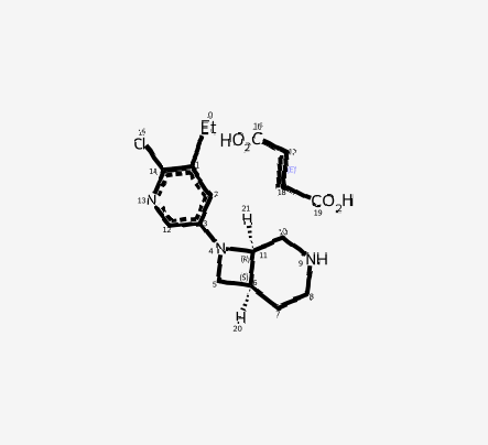 CCc1cc(N2C[C@@H]3CCNC[C@@H]32)cnc1Cl.O=C(O)/C=C/C(=O)O